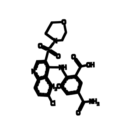 Cc1cc(C(N)=O)cc(C(=O)O)c1Nc1c(S(=O)(=O)N2CCOCC2)cnc2ccc(Cl)cc12